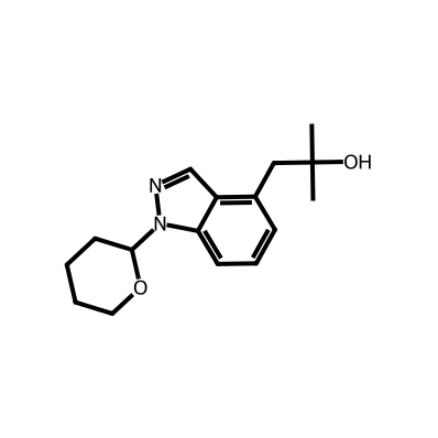 CC(C)(O)Cc1cccc2c1cnn2C1CCCCO1